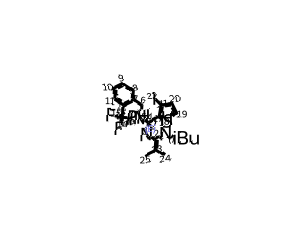 CCC(C)NC(/N=C(/NCc1ccccc1C(F)(F)P)c1sccc1I)=C(C)C